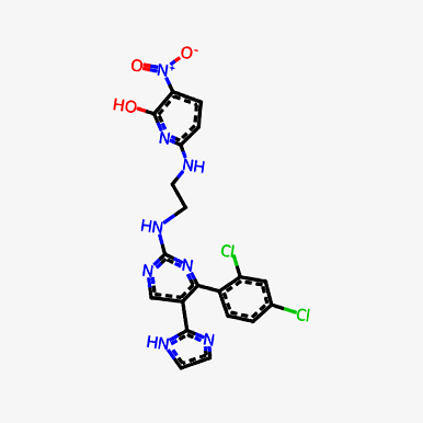 O=[N+]([O-])c1ccc(NCCNc2ncc(-c3ncc[nH]3)c(-c3ccc(Cl)cc3Cl)n2)nc1O